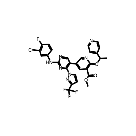 COC(=O)c1cc(-c2cnc(Nc3ccc(F)c(Cl)c3)nc2-n2ccc(C(F)(F)F)n2)cnc1OC(C)c1ccncc1